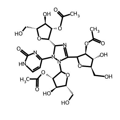 CC(=O)O[C@H]1[C@H](O)[C@@H](CO)O[C@H]1C1N=C(C2O[C@H](CO)[C@@H](O)[C@@H]2OC(C)=O)N(C2O[C@H](CO)[C@@H](O)[C@@H]2OC(C)=O)N1c1cc[nH]c(=O)n1